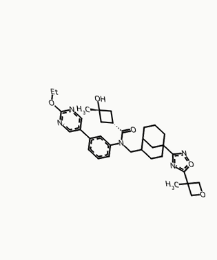 CCOc1ncc(-c2cccc(N(CC3CCC4(c5noc(C6(C)COC6)n5)CCCC3C4)C(=O)[C@H]3C[C@@](C)(O)C3)c2)cn1